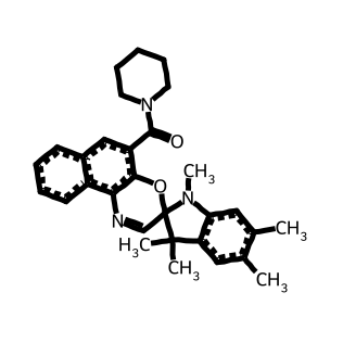 Cc1cc2c(cc1C)C(C)(C)C1(C=Nc3c(c(C(=O)N4CCCCC4)cc4ccccc34)O1)N2C